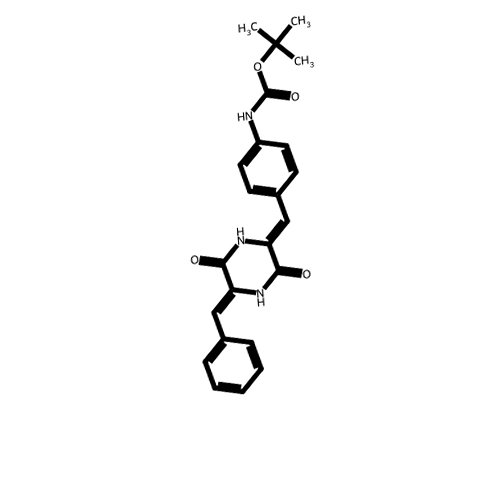 CC(C)(C)OC(=O)Nc1ccc(/C=c2\[nH]c(=O)/c(=C/c3ccccc3)[nH]c2=O)cc1